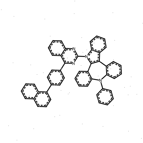 c1ccc(N2c3ccccc3-c3c(n(-c4nc(-c5ccc(-c6cccc7ccccc67)cc5)c5ccccc5n4)c4ccccc34)-c3ccccc32)cc1